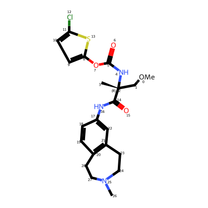 COC[C@@](C)(NC(=O)Oc1ccc(Cl)s1)C(=O)Nc1ccc2c(c1)CCN(C)CC2